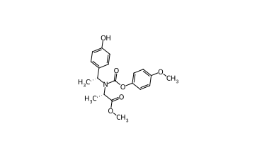 COC(=O)[C@H](C)N(C(=O)Oc1ccc(OC)cc1)[C@H](C)c1ccc(O)cc1